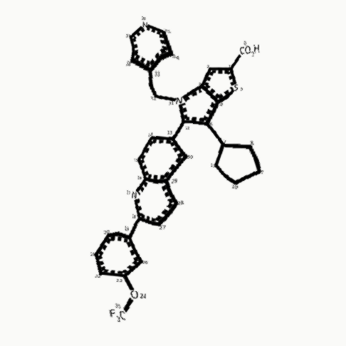 O=C(O)c1cc2c(s1)c(C1CCCC1)c(-c1ccc3nc(-c4cccc(OC(F)(F)F)c4)ccc3c1)n2Cc1ccncc1